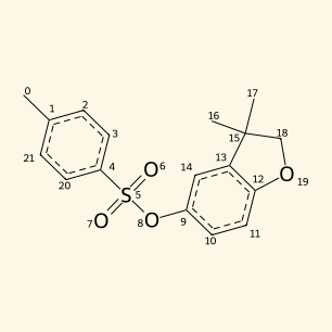 Cc1ccc(S(=O)(=O)Oc2ccc3c(c2)C(C)(C)CO3)cc1